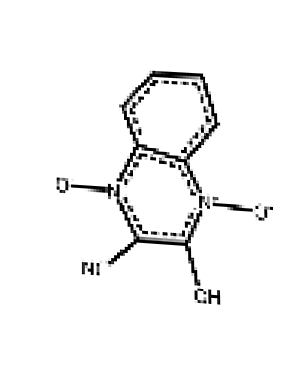 N#Cc1c(O)[n+]([O-])c2ccccc2[n+]1[O-]